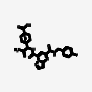 NC(=O)C(NC(=O)c1cc(C(=O)NCc2ccc(F)cc2)nc2ccnn12)C12CCC(C(=O)O)(CC1)CC2